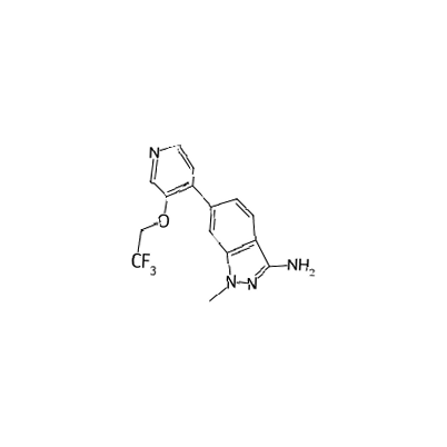 Cn1nc(N)c2ccc(-c3ccncc3OCC(F)(F)F)cc21